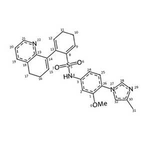 COc1cc(NS(=O)(=O)C2=CCCC=C2C2=CCCc3cccnc32)ccc1-n1cnc(C)c1